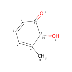 CC1=CC=CC(=O)[C@@H]1O